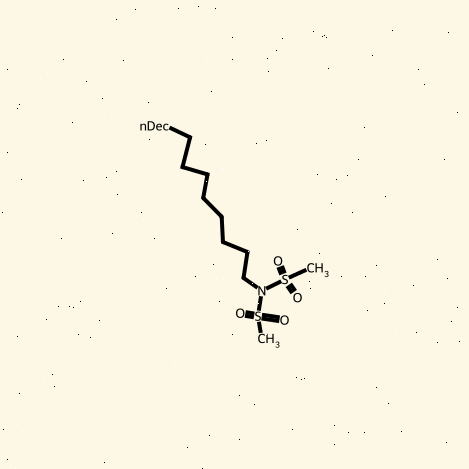 CCCCCCCCCCCCCCCCCCN(S(C)(=O)=O)S(C)(=O)=O